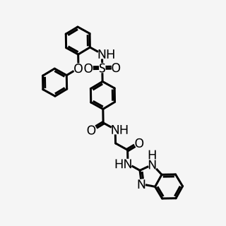 O=C(CNC(=O)c1ccc(S(=O)(=O)Nc2ccccc2Oc2ccccc2)cc1)Nc1nc2ccccc2[nH]1